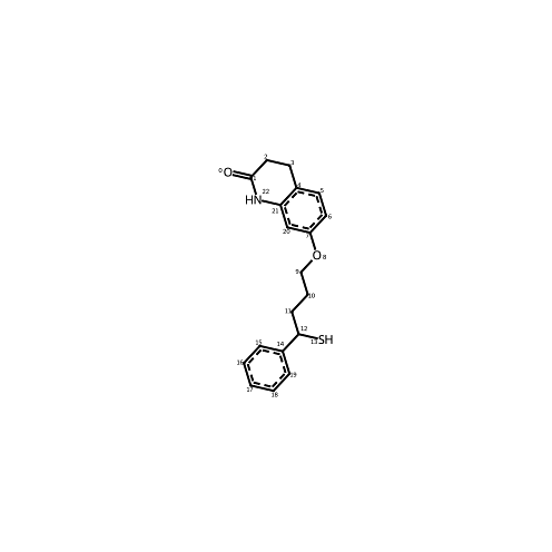 O=C1CCc2ccc(OCCCC(S)c3ccccc3)cc2N1